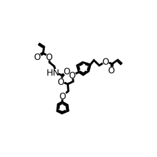 C=CC(=O)OCCNC(=O)OC(COc1ccccc1)COc1ccc(CCOC(=O)C=C)cc1